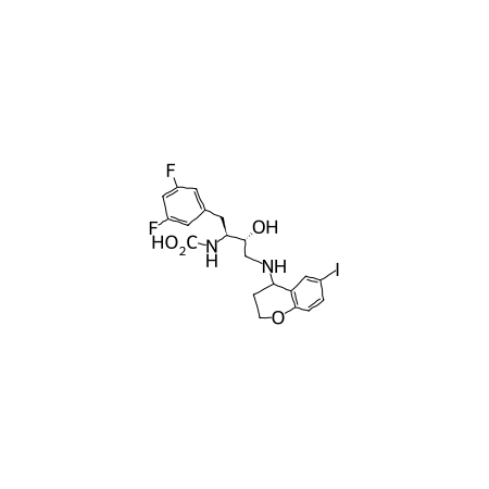 O=C(O)N[C@@H](Cc1cc(F)cc(F)c1)[C@H](O)CNC1CCOc2ccc(I)cc21